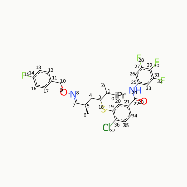 CC(C)C(C)C(C[C@@H](C)/C=N/OCc1ccc(F)cc1)Sc1cc(C(=O)Nc2cc(F)c(F)c(F)c2)ccc1Cl